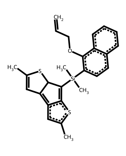 C=CCOc1c([Si](C)(C)C2=c3sc(C)cc3=C3C=C(C)SC32)ccc2ccccc12